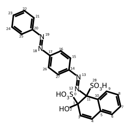 O=S(=O)(O)C1(O)C=Cc2ccccc2C1(/N=N/c1ccc(/N=N/c2ccccc2)cc1)S(=O)(=O)O